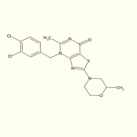 Cc1nc(=O)c2sc(N3CCOC(C)C3)nc2n1Cc1ccc(Cl)c(Cl)c1